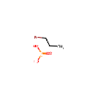 CCCBr.O=[PH](O)O